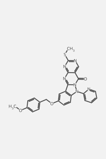 COc1ccc(COc2ccc3c(c2)c2nc4nc(SC)ncc4c(=O)n2n3-c2ccccn2)cc1